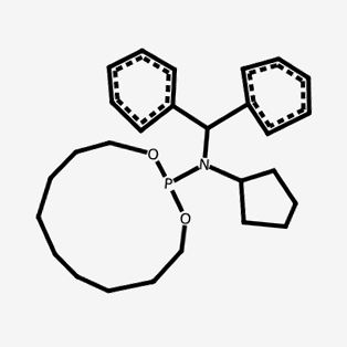 c1ccc(C(c2ccccc2)N(C2CCCC2)P2OCCCCCCCCCO2)cc1